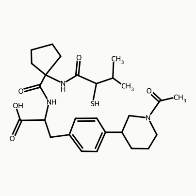 CC(=O)N1CCCC(c2ccc(CC(NC(=O)C3(NC(=O)C(S)C(C)C)CCCC3)C(=O)O)cc2)C1